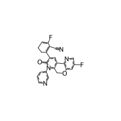 N#CC1=C(c2cc3c(n(-c4cccnc4)c2=O)COc2cc(F)cnc2-3)CCC=C1F